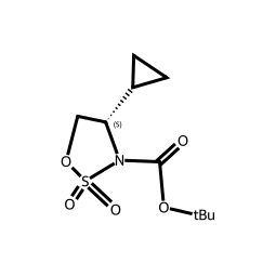 CC(C)(C)OC(=O)N1[C@@H](C2CC2)COS1(=O)=O